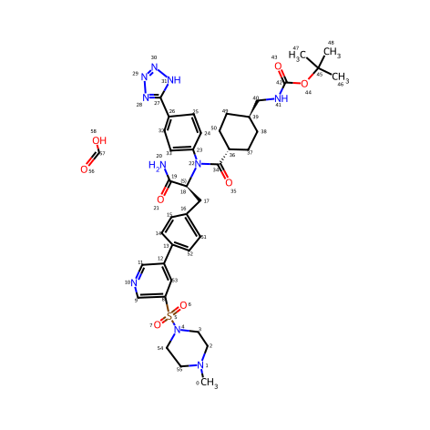 CN1CCN(S(=O)(=O)c2cncc(-c3ccc(C[C@@H](C(N)=O)N(c4ccc(-c5nnn[nH]5)cc4)C(=O)[C@H]4CC[C@H](CNC(=O)OC(C)(C)C)CC4)cc3)c2)CC1.O=CO